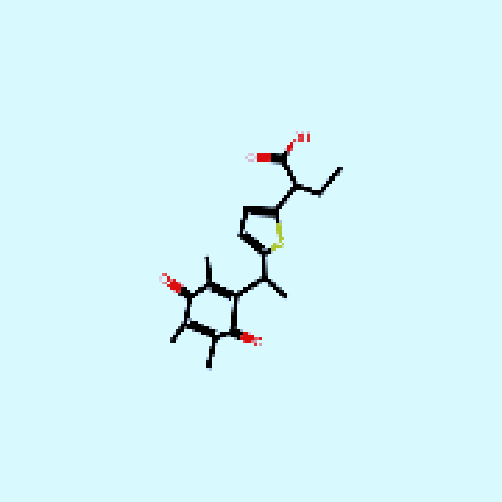 CCC(C(=O)O)c1ccc(C(C)C2=C(C)C(=O)C(C)=C(C)C2=O)s1